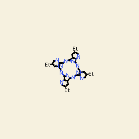 CCc1cnc2c(c1)-c1nc-2nc2[nH]c(nc3[n+](C)c(nc4[nH]c(n1)c1ncc(CC)cc41)-c1ncc(CC)cc1-3)c1ncc(CC)cc21